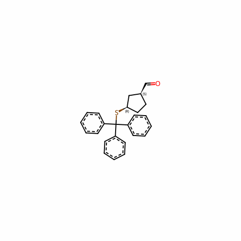 O=C[C@H]1CC[C@@H](SC(c2ccccc2)(c2ccccc2)c2ccccc2)C1